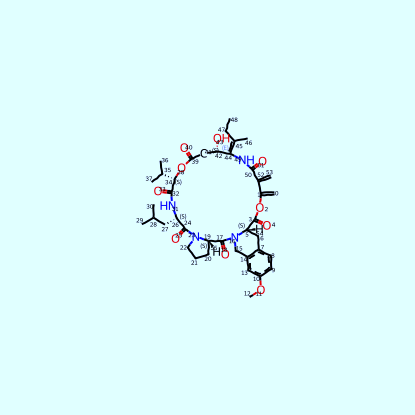 C=C1OC(=O)[C@@H]2Cc3ccc(OC)cc3CN2C(=O)[C@@H]2CCCN2C(=O)[C@H](CC(C)C)NC(=O)[C@H](C(C)C)OC(=O)C[C@H](O)/C(=C(/C)CC)NC(=O)C1=C